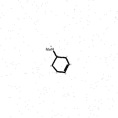 CNC1CC=CCC1